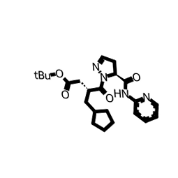 CC(C)(C)OC(=O)C[C@@H](CC1CCCC1)C(=O)N1N=CC[C@H]1C(=O)Nc1ccccn1